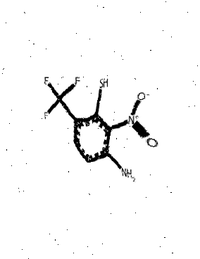 Nc1ccc(C(F)(F)F)c(S)c1[N+](=O)[O-]